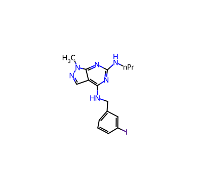 CCCNc1nc(NCc2cccc(I)c2)c2cnn(C)c2n1